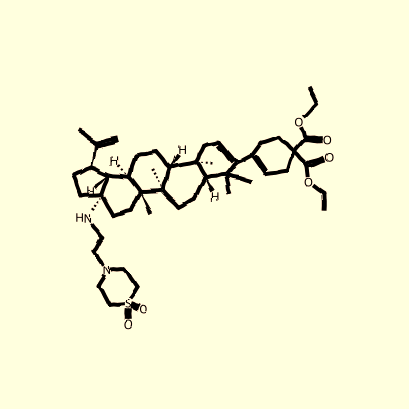 C=C(C)[C@@H]1CC[C@]2(NCCN3CCS(=O)(=O)CC3)CC[C@]3(C)[C@H](CC[C@@H]4[C@@]5(C)CC=C(C6=CCC(C(=O)OCC)(C(=O)OCC)CC6)C(C)(C)[C@@H]5CC[C@]43C)[C@@H]12